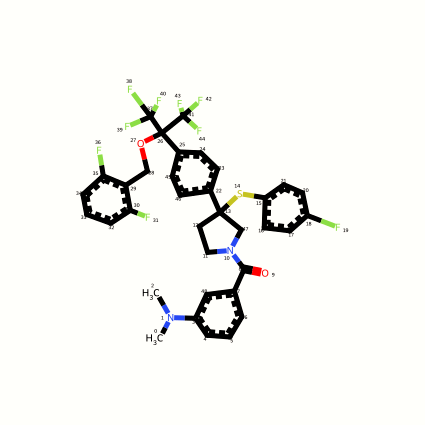 CN(C)c1cccc(C(=O)N2CCC(Sc3ccc(F)cc3)(c3ccc(C(OCc4c(F)cccc4F)(C(F)(F)F)C(F)(F)F)cc3)C2)c1